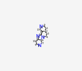 c1cc2ccn3c4cnccc4nc3c2cn1